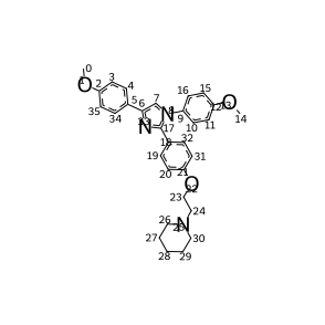 COc1ccc(-c2cn(-c3ccc(OC)cc3)c(-c3ccc(OCCN4CCCCC4)cc3)n2)cc1